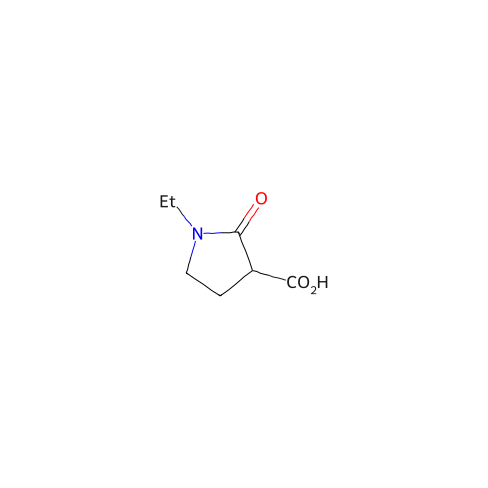 CCN1CCC(C(=O)O)C1=O